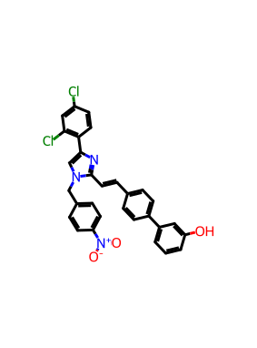 O=[N+]([O-])c1ccc(Cn2cc(-c3ccc(Cl)cc3Cl)nc2C=Cc2ccc(-c3cccc(O)c3)cc2)cc1